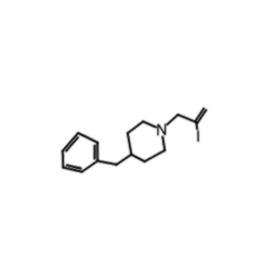 C=C(I)CN1CCC(Cc2ccccc2)CC1